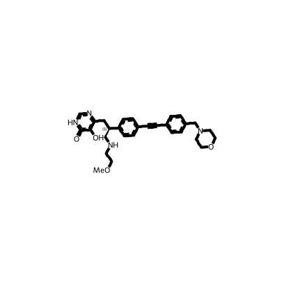 COCCNC[C@@H](Cc1nc[nH]c(=O)c1O)c1ccc(C#Cc2ccc(CN3CCOCC3)cc2)cc1